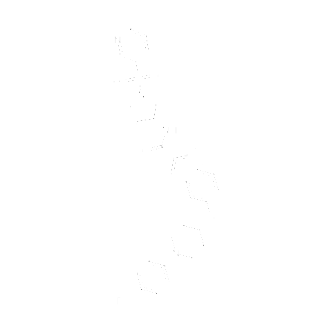 O=C(NC1CCN(S(=O)(=O)c2cccnc2)C1)c1cc2cc(OC3CCN(c4ccc(C(F)(F)F)cc4)CC3)ccc2o1